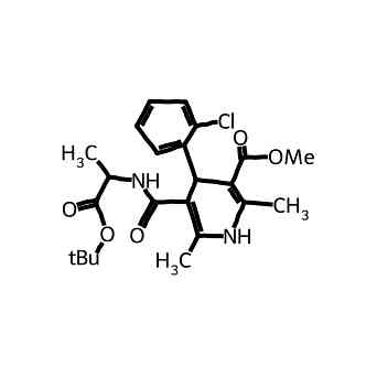 COC(=O)C1=C(C)NC(C)=C(C(=O)NC(C)C(=O)OC(C)(C)C)C1c1ccccc1Cl